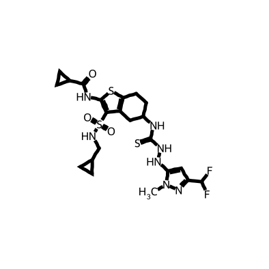 Cn1nc(C(F)F)cc1NNC(=S)NC1CCc2sc(NC(=O)C3CC3)c(S(=O)(=O)NCC3CC3)c2C1